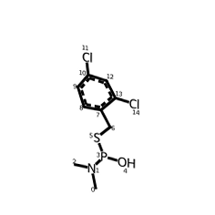 CN(C)P(O)SCc1ccc(Cl)cc1Cl